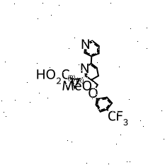 COC1(COc2ccc(C(F)(F)F)cc2)CC=C(c2cccnc2)N=C1[C@@H]1C[C@H]1C(=O)O